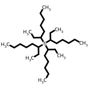 CCCCC[CH](CC)[Ti]([CH](CC)CCCCC)([CH](CC)CCCCC)[CH](CC)CCCCC